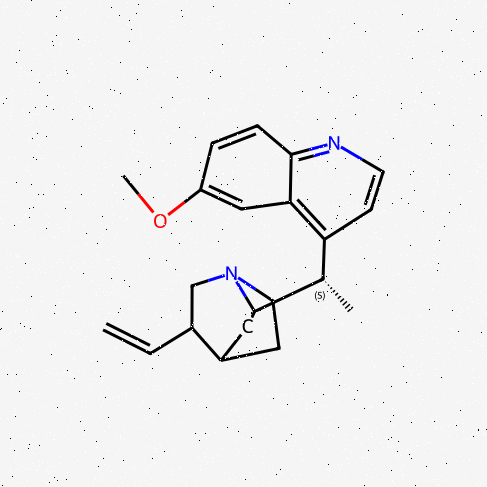 C=CC1CN2CCC1CC2[C@@H](C)c1ccnc2ccc(OC)cc12